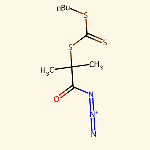 CCCCSC(=S)SC(C)(C)C(=O)N=[N+]=[N-]